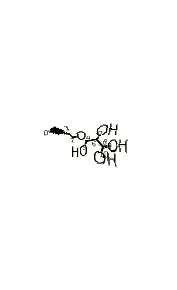 C#CCOC(O)C(O)C(O)O